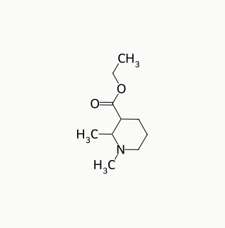 CCOC(=O)C1CCCN(C)C1C